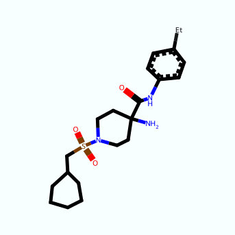 CCc1ccc(NC(=O)C2(N)CCN(S(=O)(=O)CC3CCCCC3)CC2)cc1